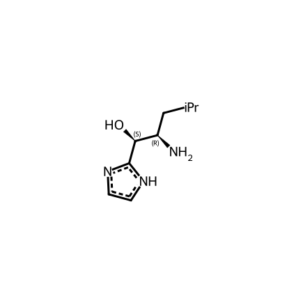 CC(C)C[C@@H](N)[C@H](O)c1ncc[nH]1